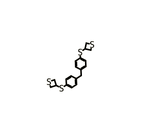 c1cc(SC2CSC2)ccc1Cc1ccc(SC2CSC2)cc1